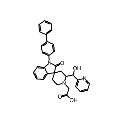 O=C(O)CN1CCC2(CC1C(O)c1ccccn1)C(=O)N(c1ccc(-c3ccccc3)cc1)c1ccccc12